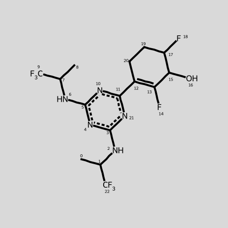 CC(Nc1nc(NC(C)C(F)(F)F)nc(C2=C(F)C(O)C(F)CC2)n1)C(F)(F)F